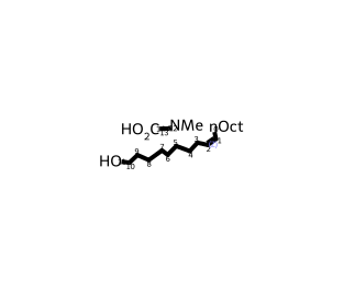 CCCCCCCC/C=C\CCCCCCCCO.CNCC(=O)O